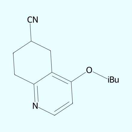 CCC(C)Oc1ccnc2c1CC(C#N)CC2